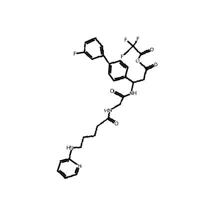 O=C(CCCCNc1ccccn1)NCC(=O)NC(CC(=O)OC(=O)C(F)(F)F)c1ccc(-c2cccc(F)c2)cc1